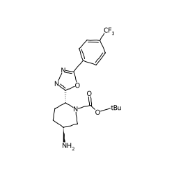 CC(C)(C)OC(=O)N1C[C@@H](N)CC[C@@H]1c1nnc(-c2ccc(C(F)(F)F)cc2)o1